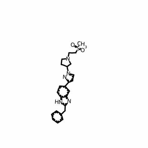 CS(=O)(=O)CCN1CCC(n2ccc(-c3ccc4[nH]c(Cc5ccccc5)nc4c3)n2)C1